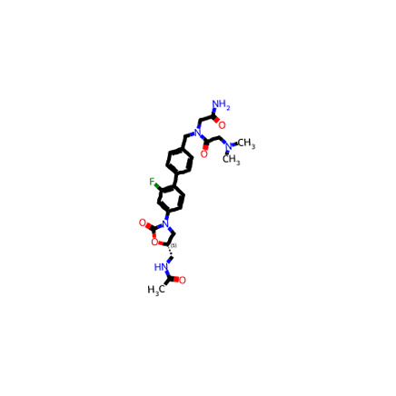 CC(=O)NC[C@H]1CN(c2ccc(-c3ccc(CN(CC(N)=O)C(=O)CN(C)C)cc3)c(F)c2)C(=O)O1